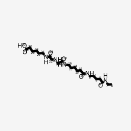 CCNC(=O)CCCCNC(=O)CCCCCNC(=O)CNCC(=O)NCCCCCC(=O)O